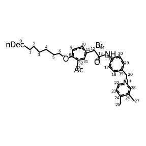 CCCCCCCCCCCCCCCCOc1ccc(CC(=O)Nc2ccc(C[n+]3ccc(C)c(C)c3)cc2)cc1C(C)=O.[Br-]